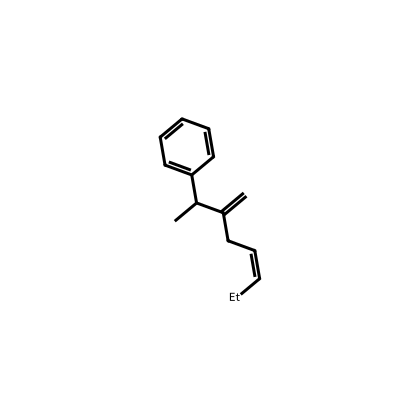 C=C(C/C=C\CC)C(C)c1ccccc1